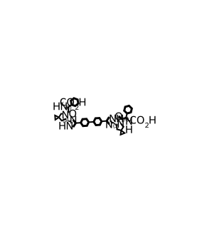 O=C(O)N[C@@H](C(=O)N1CC2(CC2)C[C@H]1c1nc(-c2ccc(-c3ccc(-c4c[nH]c([C@@H]5CC6(CC6)CN5C(=O)[C@H](NC(=O)O)c5ccccc5)n4)cc3)cc2)c[nH]1)c1ccccc1